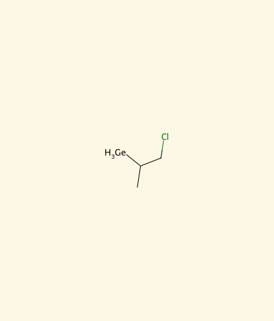 C[CH]([GeH3])CCl